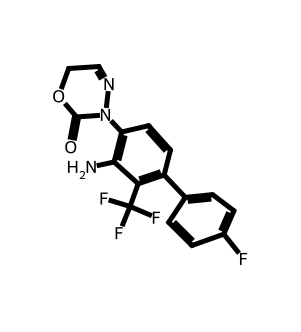 Nc1c(N2N=CCOC2=O)ccc(-c2ccc(F)cc2)c1C(F)(F)F